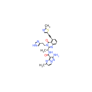 Cc1ccn2nc(N)c(C(=O)NC(C)c3nc4cccc(C#Cc5cnc(C)s5)c4c(=O)n3CCc3c[nH]cn3)c2n1